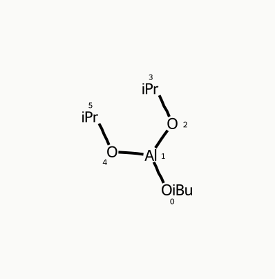 CC(C)C[O][Al]([O]C(C)C)[O]C(C)C